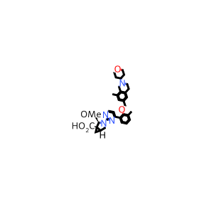 COC[C@H]1N(c2nccc(-c3cccc(C)c3OCc3cc(C)c4c(c3)CCN(C3CCOCC3)C4)n2)C[C@@H]2C[C@@]21C(=O)O